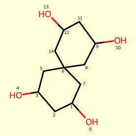 OC1CC(O)CC2(C1)CC(O)CC(O)C2